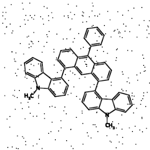 Cn1c2ccccc2c2c(-c3cccc4c(-c5ccccc5)c5cccc(-c6cccc7c6c6ccccc6n7C)c5cc34)cccc21